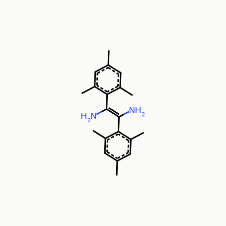 Cc1cc(C)c(/C(N)=C(\N)c2c(C)cc(C)cc2C)c(C)c1